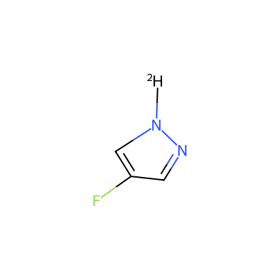 [2H]n1cc(F)cn1